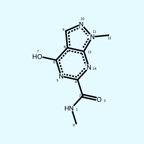 CNC(=O)c1nc(O)c2cnn(C)c2n1